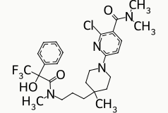 CN(C)C(=O)c1ccc(N2CCC(C)(CCCN(C)C(=O)C(O)(c3ccccc3)C(F)(F)F)CC2)nc1Cl